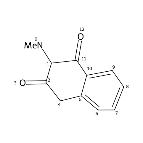 CNC1C(=O)Cc2ccccc2C1=O